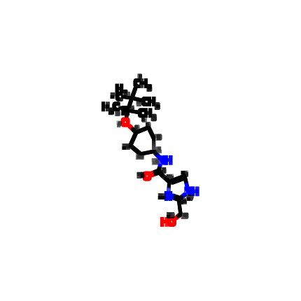 CC(C)(C)[Si](C)(C)OC1CCC(NC(=O)c2c[nH]c(CO)n2)CC1